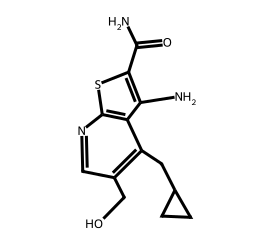 NC(=O)c1sc2ncc(CO)c(CC3CC3)c2c1N